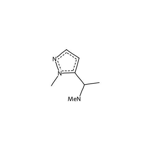 [CH2-][NH2+]C(C)c1ccnn1C